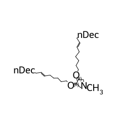 CCCCCCCCCCCC=CCCCCCO[C@@H]1CN(C)C[C@H]1OCCCCCC=CCCCCCCCCCCC